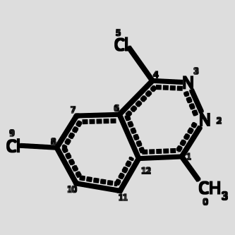 Cc1nnc(Cl)c2cc(Cl)ccc12